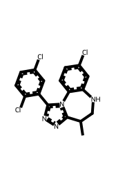 CC1CNc2cc(Cl)ccc2-n2c(-c3cc(Cl)ccc3Cl)nnc21